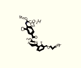 CO/C(=C/c1c(Cl)cc(C(=O)Nc2nc(-c3cccc(COCCC(C)C)c3F)cs2)cc1Cl)C(=O)O